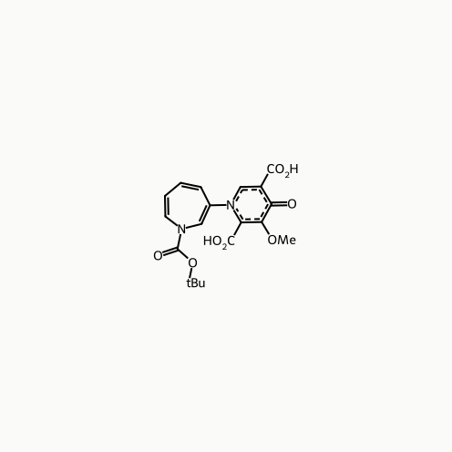 COc1c(C(=O)O)n(C2=CN(C(=O)OC(C)(C)C)C=CC=C2)cc(C(=O)O)c1=O